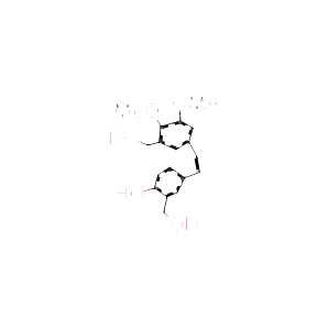 COc1cc(/C=C\c2ccc(O)c(CO)c2)cc(CO)c1OC